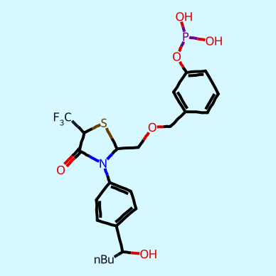 CCCCC(O)c1ccc(N2C(=O)C(C(F)(F)F)SC2COCc2cccc(OP(O)O)c2)cc1